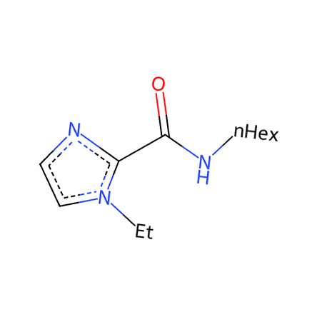 CCCCCCNC(=O)c1nccn1CC